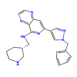 c1ccc(Cn2cc(-c3cc4nccnc4c(NC[C@H]4CCCNC4)n3)cn2)cc1